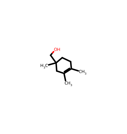 CC1=C(C)CC(C)(CO)CC1